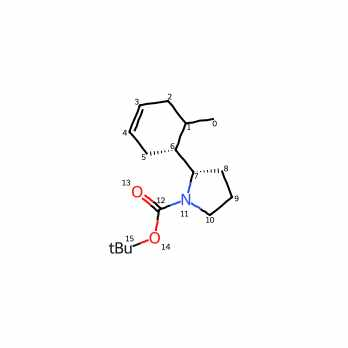 CC1CC=CC[C@H]1[C@@H]1CCCN1C(=O)OC(C)(C)C